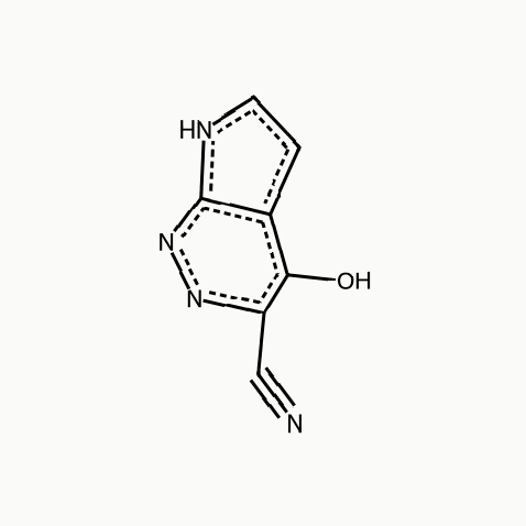 N#Cc1nnc2[nH]ccc2c1O